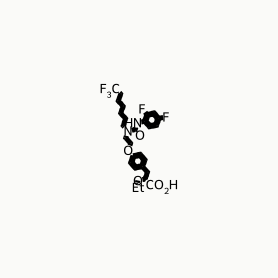 CCOC(Cc1ccc(OCCN(CCCCCCC(F)(F)F)C(=O)Nc2ccc(F)cc2F)cc1)C(=O)O